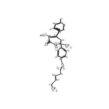 Cc1ccc(C2=C(C(=O)O)C(=O)NC(c3ccc(OCCCCCC(F)(F)F)cc3)(C(F)(F)F)C2)cc1